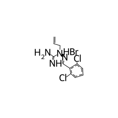 Br.C=CCN(N=Cc1c(Cl)cccc1Cl)C(=N)N